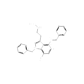 CNCCc1cn(Cc2ccccc2)c2c(F)ccc(OCc3ccccc3)c12